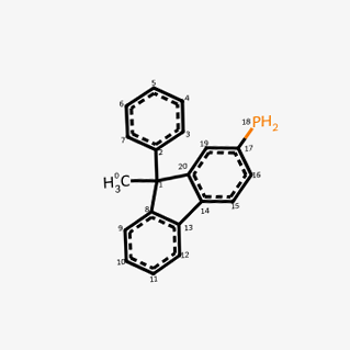 CC1(c2ccccc2)c2ccccc2-c2ccc(P)cc21